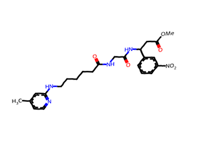 COC(=O)CC(NC(=O)CNC(=O)CCCCCNc1cc(C)ccn1)c1cccc([N+](=O)[O-])c1